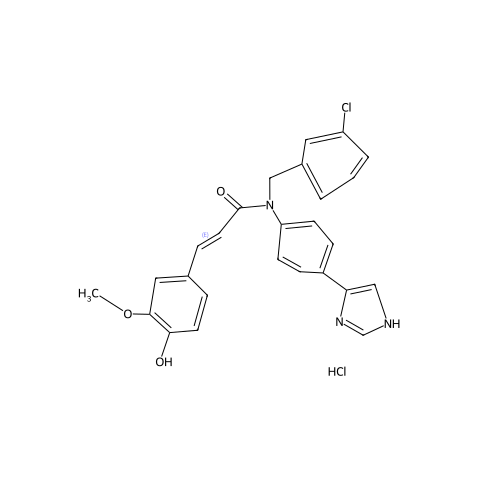 COc1cc(/C=C/C(=O)N(Cc2cccc(Cl)c2)c2ccc(-c3c[nH]cn3)cc2)ccc1O.Cl